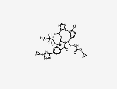 CC(C)(CCN/C1=N\C(F)c2ncnn2-c2cc(ccc2Cl)[C@@H](CNC(=O)OC2CC2)N1C(=O)c1ccc(-c2cnn(C3CC3)n2)cc1)C(F)(F)F